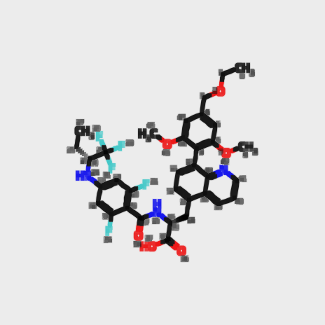 CCOCc1cc(OC)c(-c2ccc(C[C@H](NC(=O)c3c(F)cc(N[C@H](CC)C(F)(F)F)cc3F)C(=O)O)c3cccnc23)c(OC)c1